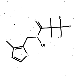 Cc1ccsc1CN(O)C(=O)C(C)(C)C(F)(F)F